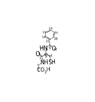 O=C(O)CNC(=O)[C@H](CS)NC(=O)c1ccccc1